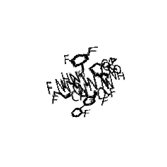 Cc1cc(C(F)F)nn1CC(=O)N[C@@H](Cc1cc(F)cc(F)c1)c1nc2cc(-c3ccccc3F)ccc2c(=O)n1-c1ccc(Cl)c2c(NS(=O)(=O)C3CC3)nn(CC(F)F)c12